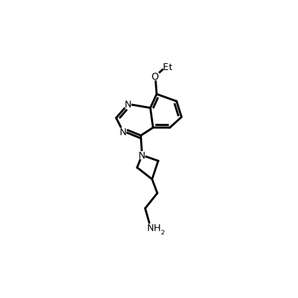 CCOc1cccc2c(N3CC(CCN)C3)ncnc12